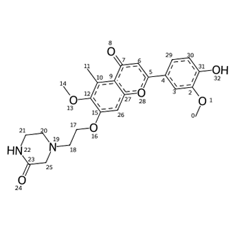 COc1cc(-c2cc(=O)c3c(C)c(OC)c(OCCN4CCNC(=O)C4)cc3o2)ccc1O